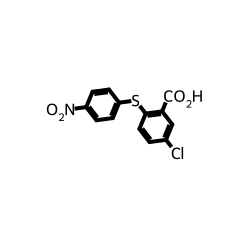 O=C(O)c1cc(Cl)ccc1Sc1ccc([N+](=O)[O-])cc1